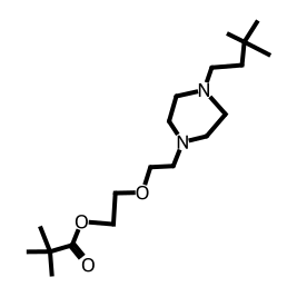 CC(C)(C)CCN1CCN(CCOCCOC(=O)C(C)(C)C)CC1